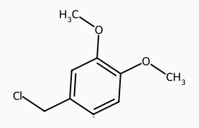 COc1c[c]c(CCl)cc1OC